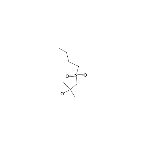 CCCCS(=O)(=O)CC(C)(C)[O]